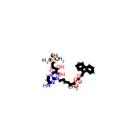 C=P(C)(C)CCC1OC(n2ccc(=N)nc2NCCCCC(C)C(=O)OC(=O)OCC2c3ccccc3-c3ccccc32)[C@H](O)[C@@H]1O